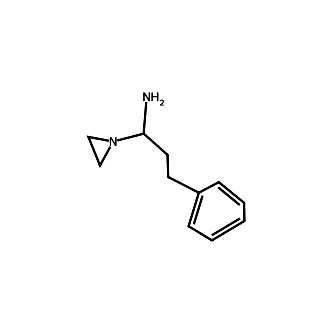 NC(CCc1ccccc1)N1CC1